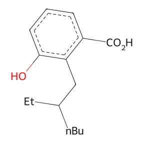 CCCCC(CC)Cc1c(O)cccc1C(=O)O